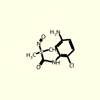 CS(C)(N=O)C(=O)Nc1cc(N)ccc1Cl